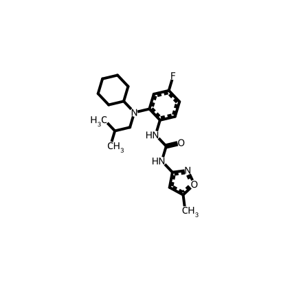 Cc1cc(NC(=O)Nc2ccc(F)cc2N(CC(C)C)C2CCCCC2)no1